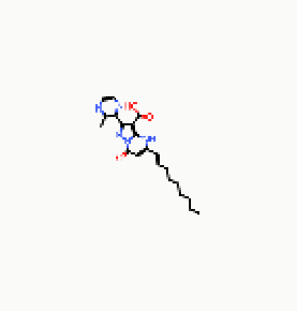 CCCCCCCC=Cc1cc(=O)n2nc(-c3nccnc3C)c(C(=O)O)c2[nH]1